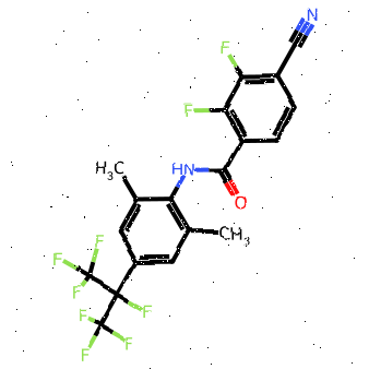 Cc1cc(C(F)(C(F)(F)F)C(F)(F)F)cc(C)c1NC(=O)c1ccc(C#N)c(F)c1F